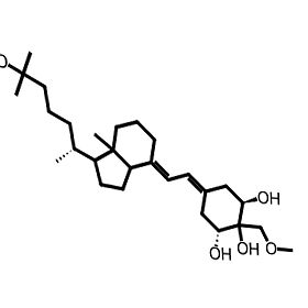 COCC1(O)[C@H](O)CC(=C/C=C2\CCCC3(C)C2CCC3[C@H](C)CCCC(C)(C)O)C[C@H]1O